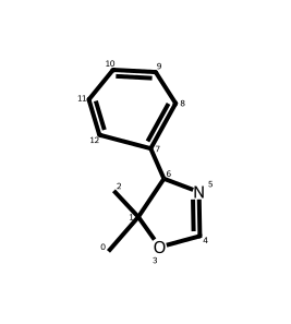 CC1(C)OC=NC1c1ccccc1